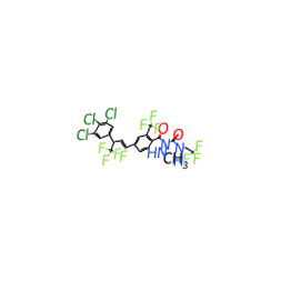 CNN(C(=O)NCC(F)(F)F)C(=O)c1ccc(C(F)=CC(c2cc(Cl)c(Cl)c(Cl)c2)C(F)(F)F)cc1C(F)(F)F